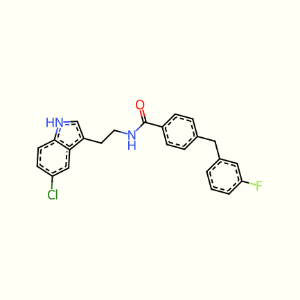 O=C(NCCc1c[nH]c2ccc(Cl)cc12)c1ccc(Cc2cccc(F)c2)cc1